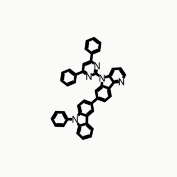 c1ccc(-c2cc(-c3ccccc3)nc(-n3c4cc(-c5ccc6c(c5)c5ccccc5n6-c5ccccc5)ccc4c4ncccc43)n2)cc1